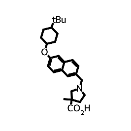 CC1(C(=O)O)CCN(Cc2ccc3cc(OC4CCC(C(C)(C)C)CC4)ccc3c2)C1